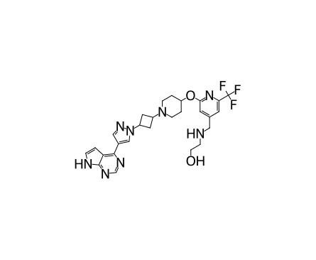 OCCNCc1cc(OC2CCN(C3CC(n4cc(-c5ncnc6[nH]ccc56)cn4)C3)CC2)nc(C(F)(F)F)c1